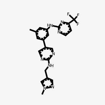 Cc1cc(Nc2nccc(C(F)(F)F)n2)cc(-c2cnc(NCc3cnn(C)c3)nc2)c1